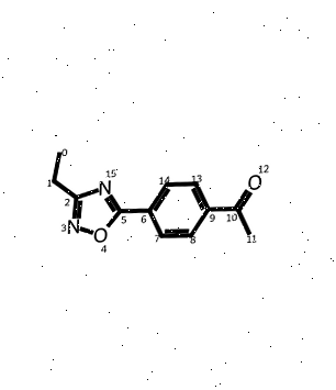 CCc1noc(-c2ccc(C(C)=O)cc2)n1